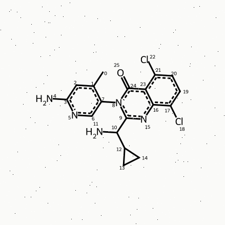 Cc1cc(N)ncc1-n1c(C(N)C2CC2)nc2c(Cl)ccc(Cl)c2c1=O